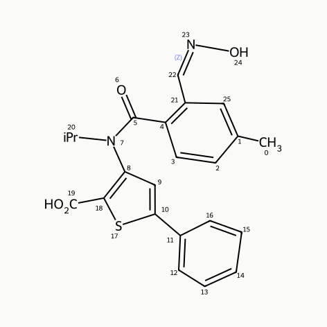 Cc1ccc(C(=O)N(c2cc(-c3ccccc3)sc2C(=O)O)C(C)C)c(/C=N\O)c1